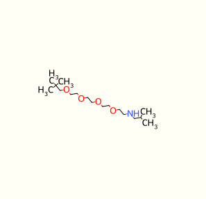 CC(C)CNCCOCCOCCOCCOCC(C)(C)C